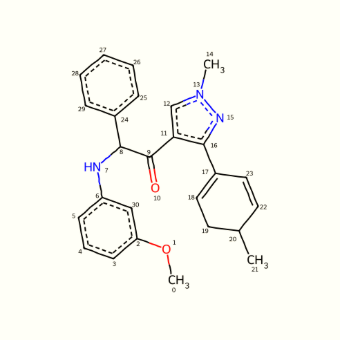 COc1cccc(NC(C(=O)c2cn(C)nc2C2=CCC(C)C=C2)c2ccccc2)c1